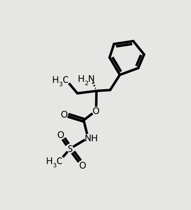 CC[C@@](N)(Cc1ccccc1)OC(=O)NS(C)(=O)=O